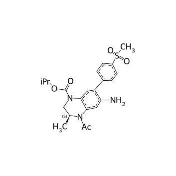 CC(=O)N1c2cc(N)c(-c3ccc(S(C)(=O)=O)cc3)cc2N(C(=O)OC(C)C)C[C@@H]1C